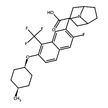 C[C@H]1CC[C@@H](Oc2ccc3cc(F)c(CN4C5CCC4CC(C(=O)O)C5)cc3c2C(F)(F)F)CC1